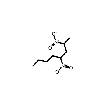 CC[CH]CC(CC(C)[N+](=O)[O-])[N+](=O)[O-]